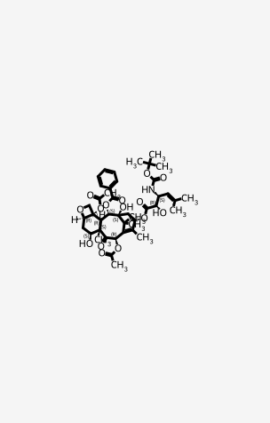 CC(=O)O[C@H]1C(=O)[C@@]2(C)[C@H]([C@H](OC(=O)c3ccccc3)[C@]3(O)C[C@H](OC(=O)[C@H](O)[C@H](C=C(C)C)NC(=O)OC(C)(C)C)C(C)=C1C3(C)C)[C@]1(OC(C)=O)CO[C@@H]1C[C@@H]2O